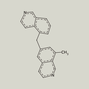 Cc1cc(Cc2cccc3cnccc23)cc2ccncc12